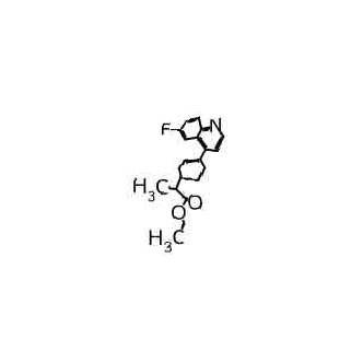 CCOC(=O)C(C)C1CC=C(c2ccnc3ccc(F)cc23)CC1